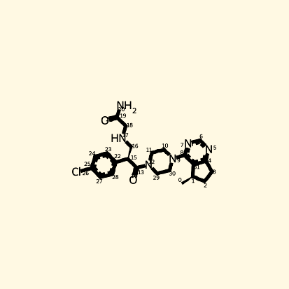 C[C@@H]1CCc2ncnc(N3CCN(C(=O)[C@H](CNCC(N)=O)c4ccc(Cl)cc4)CC3)c21